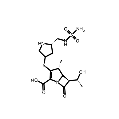 C[C@H]1C(SC2CN[C@H](CNS(N)(=O)=O)C2)=C(C(=O)O)N2C(=O)[C@H]([C@@H](C)O)C12